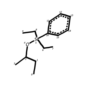 CCC(C)O[Si](CC)(CC)c1ccccc1